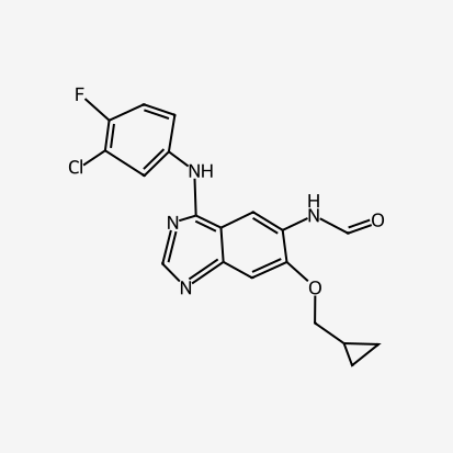 O=CNc1cc2c(Nc3ccc(F)c(Cl)c3)ncnc2cc1OCC1CC1